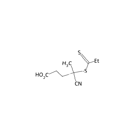 CCC(=S)SC(C)(C#N)CCC(=O)O